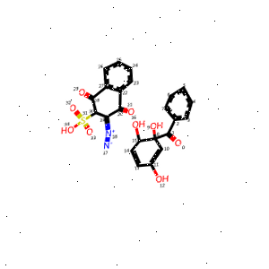 O=C(c1ccccc1)C1(O)C=C(O)C=CC1O.[N-]=[N+]=C1C(=O)c2ccccc2C(=O)C1S(=O)(=O)O